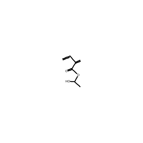 C=CC(=C)C(=O)OC(C)O